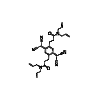 C=CCN(CC=C)C(=O)CCc1cc(=C(C#N)C#N)c(CCC(=O)N(CC=C)CC=C)cc1=C(C#N)C#N